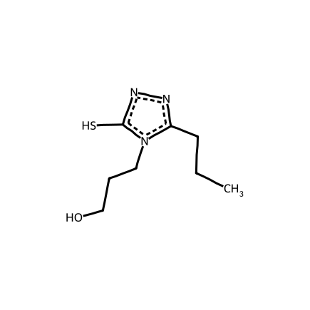 CCCc1nnc(S)n1CCCO